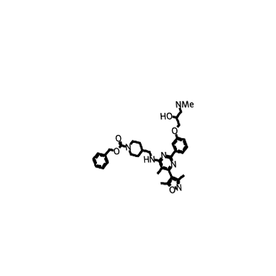 CNCC(O)COc1cccc(-c2nc(NCC3CCN(C(=O)OCc4ccccc4)CC3)c(C)c(-c3c(C)noc3C)n2)c1